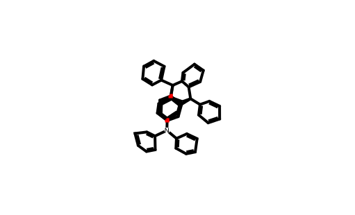 c1ccc(N(c2ccccc2)c2ccc3c(c2)C2(c4ccccc4)c4ccccc4C3(c3ccccc3)c3ccccc32)cc1